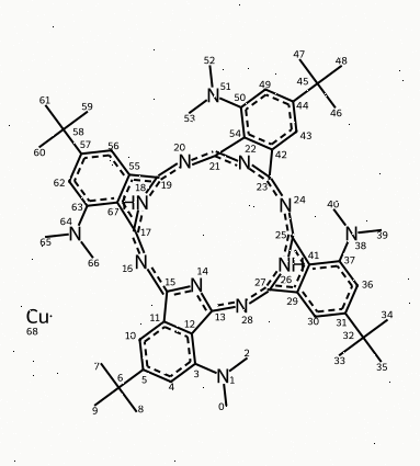 CN(C)c1cc(C(C)(C)C)cc2c1-c1nc-2nc2[nH]c(nc3nc(nc4[nH]c(n1)c1cc(C(C)(C)C)cc(N(C)C)c41)-c1cc(C(C)(C)C)cc(N(C)C)c1-3)c1cc(C(C)(C)C)cc(N(C)C)c21.[Cu]